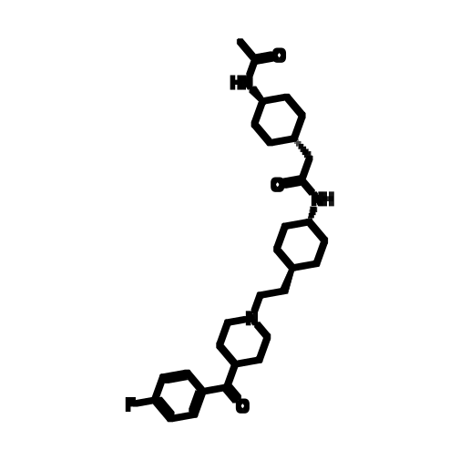 CC(=O)N[C@H]1CC[C@H](CC(=O)N[C@H]2CC[C@H](CCN3CCC(C(=O)c4ccc(F)cc4)CC3)CC2)CC1